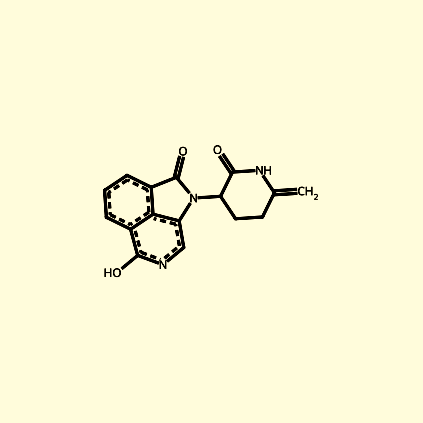 C=C1CCC(N2C(=O)c3cccc4c(O)ncc2c34)C(=O)N1